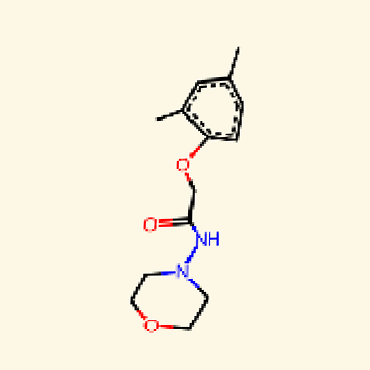 Cc1ccc(OCC(=O)NN2CCOCC2)c(C)c1